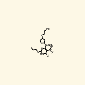 CCCSC1=NC(N(N)[C@H]2CC[C@@H](OCCO)C2)=C([N+](=O)[O-])C(Cl)N1